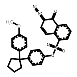 COc1ccc(C2(c3ccc(OS(=O)(=O)c4cccc5c4C=CC(=[N+]=[N-])C5=O)cc3)CCCC2)cc1